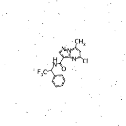 Cc1cc(Cl)nc2c(C(=O)NC(c3ccccc3)C(F)(F)F)cnn12